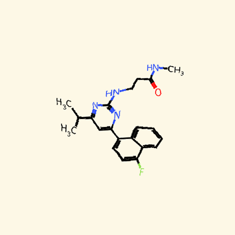 CNC(=O)CCNc1nc(-c2ccc(F)c3ccccc23)cc(C(C)C)n1